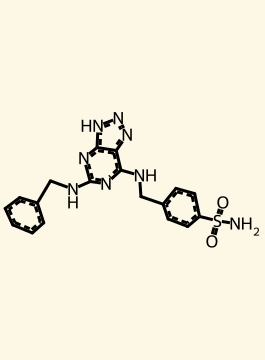 NS(=O)(=O)c1ccc(CNc2nc(NCc3ccccc3)nc3[nH]nnc23)cc1